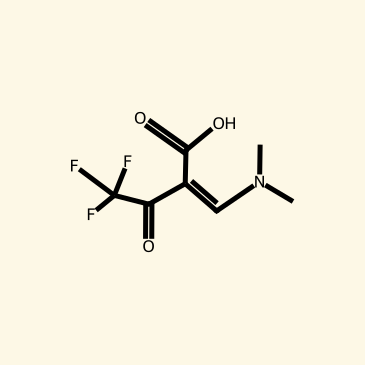 CN(C)/C=C(\C(=O)O)C(=O)C(F)(F)F